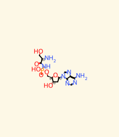 Nc1ncnc2c1ncn2[C@H]1C[C@H](O)[C@@H](COP(=O)(O)NC(=O)[C@@H](N)CO)O1